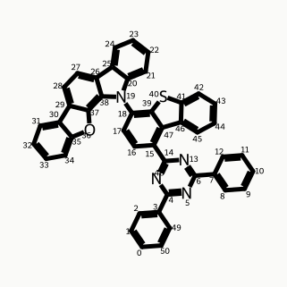 c1ccc(-c2nc(-c3ccccc3)nc(-c3ccc(-n4c5ccccc5c5ccc6c7ccccc7oc6c54)c4sc5ccccc5c34)n2)cc1